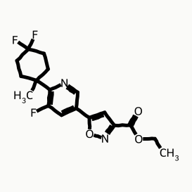 CCOC(=O)c1cc(-c2cnc(C3(C)CCC(F)(F)CC3)c(F)c2)on1